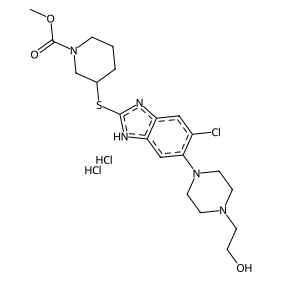 COC(=O)N1CCCC(Sc2nc3cc(Cl)c(N4CCN(CCO)CC4)cc3[nH]2)C1.Cl.Cl